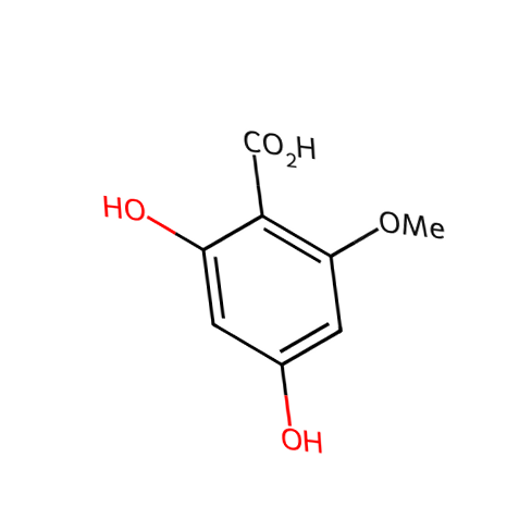 COc1cc(O)cc(O)c1C(=O)O